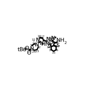 C/N=C\c1c(N)sc2c1[C@@](C)(C(=O)NC(=N)c1ccnc(N3CCCN(C(=O)OC(C)(C)C)C[C@@H]3C)n1)CCC2